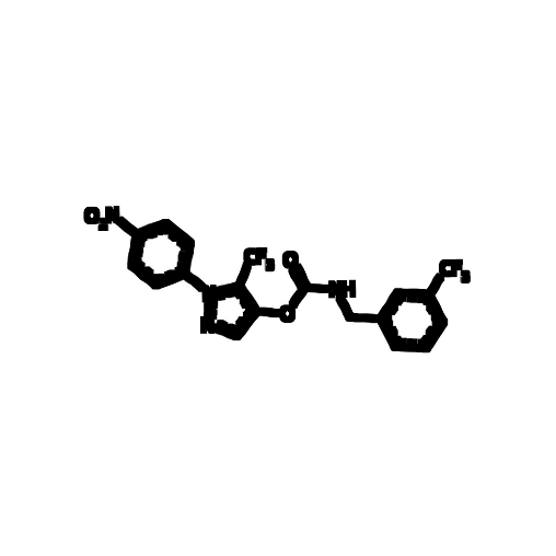 O=C(NCc1cccc(C(F)(F)F)c1)Oc1cnn(-c2ccc([N+](=O)[O-])cc2)c1C(F)(F)F